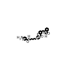 Nc1ccc(C(=O)NCCCCCN2CCN(C(=O)c3cc(Cc4n[nH]c(=O)c5ccccc45)ccc3F)CC2)cn1